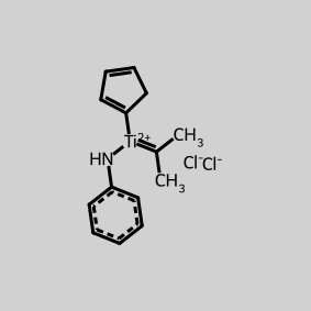 C[C](C)=[Ti+2]([NH]c1ccccc1)[C]1=CC=CC1.[Cl-].[Cl-]